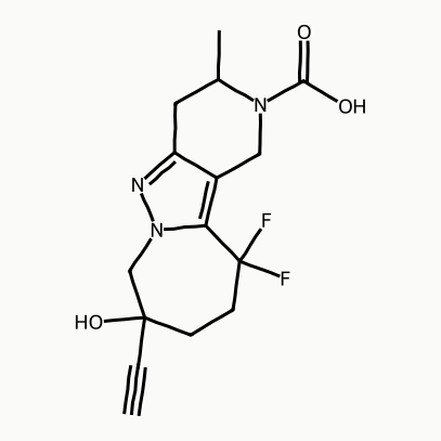 C#CC1(O)CCC(F)(F)c2c3c(nn2C1)CC(C)N(C(=O)O)C3